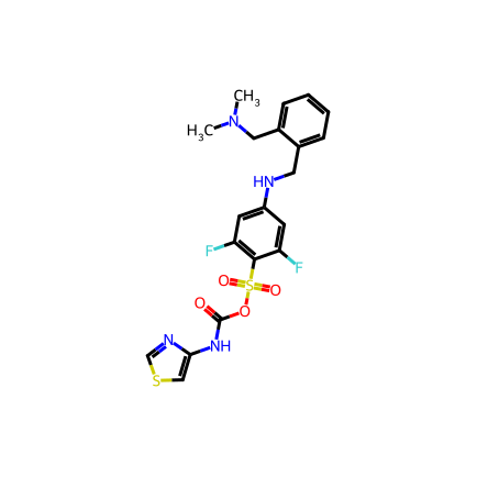 CN(C)Cc1ccccc1CNc1cc(F)c(S(=O)(=O)OC(=O)Nc2cscn2)c(F)c1